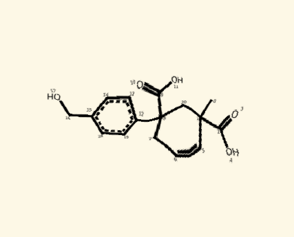 CC1(C(=O)O)C=CCC(C(=O)O)(c2ccc(CO)cc2)C1